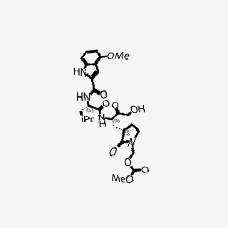 COC(=O)OCN1CC[C@@H](C[C@H](NC(=O)[C@H](CC(C)C)NC(=O)c2cc3c(OC)cccc3[nH]2)C(=O)CO)C1=O